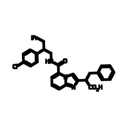 CC(C)CC(CNC(=O)c1cccc2nc(C(Cc3ccccc3)C(=O)O)cn12)c1ccc(Cl)cc1